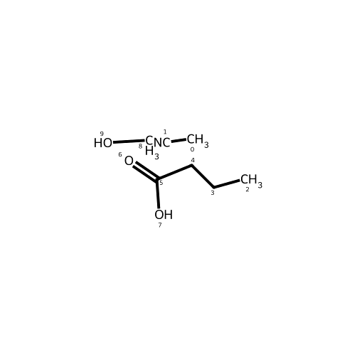 CC#N.CCCC(=O)O.CO